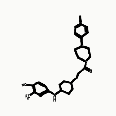 Cc1ccc(N2CCN(C(=O)CCC3CCC(Nc4ccc(C#N)c(C(F)(F)F)c4)CC3)CC2)cc1